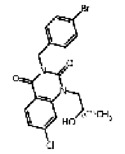 C[C@H](O)Cn1c(=O)n(Cc2ccc(Br)cc2)c(=O)c2ccc(Cl)cc21